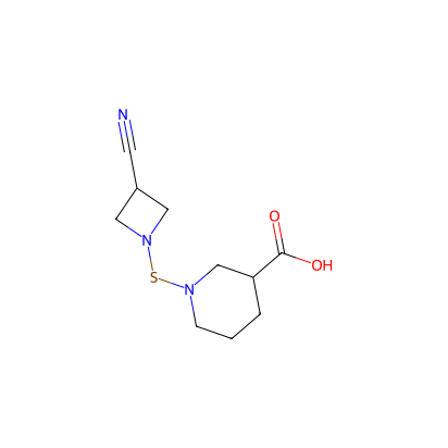 N#CC1CN(SN2CCCC(C(=O)O)C2)C1